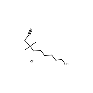 C[N+](C)(CC#N)CCCCCCO.[Cl-]